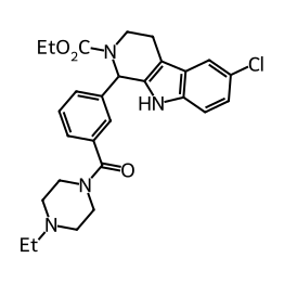 CCOC(=O)N1CCc2c([nH]c3ccc(Cl)cc23)C1c1cccc(C(=O)N2CCN(CC)CC2)c1